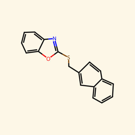 c1ccc2cc(CSc3nc4ccccc4o3)ccc2c1